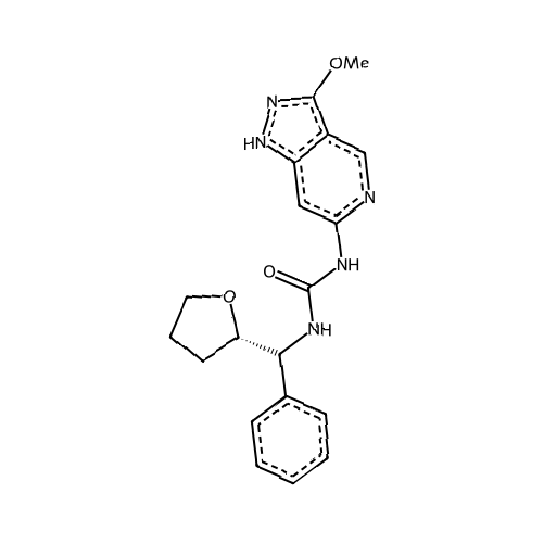 COc1n[nH]c2cc(NC(=O)NC(c3ccccc3)[C@@H]3CCCO3)ncc12